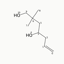 C=CCC(O)CC(C)(C)CO